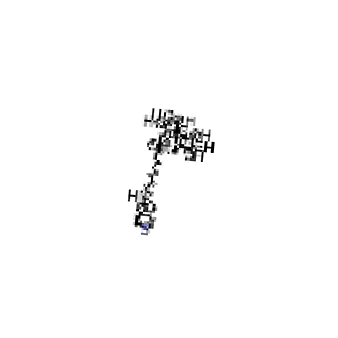 O=C(CCCCCCCCCNC(=O)OC1CC/C=C/CCC1)OCC1O[C@H](O[C@H]2OC(CO)[C@@H](O)C(O)C2O)C(O)C(O)[C@@H]1O